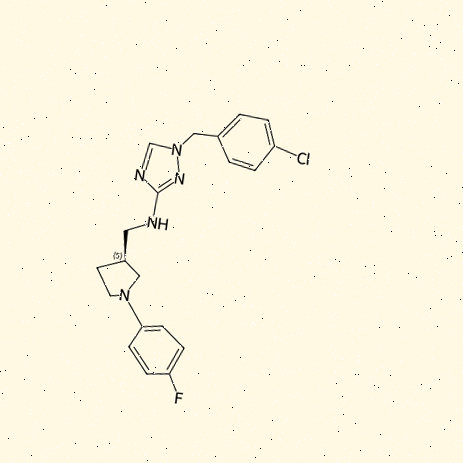 Fc1ccc(N2CC[C@@H](CNc3ncn(Cc4ccc(Cl)cc4)n3)C2)cc1